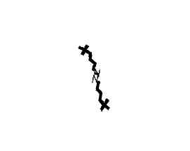 CC(C)(C)CCCCN=NCCCCC(C)(C)C